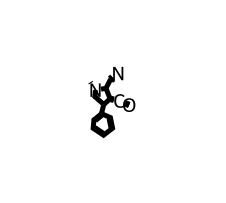 CN1CC(c2ccccc2)C(=C=O)C1C#N